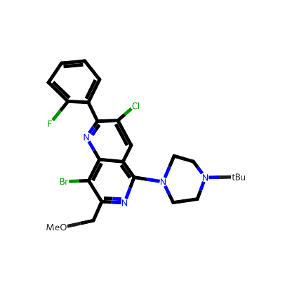 COCc1nc(N2CCN(C(C)(C)C)CC2)c2cc(Cl)c(-c3ccccc3F)nc2c1Br